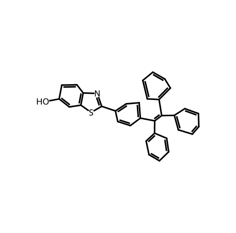 Oc1ccc2nc(-c3ccc(C(=C(c4ccccc4)c4ccccc4)c4ccccc4)cc3)sc2c1